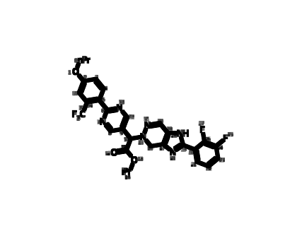 CCCOc1ccc(-c2ncc(C(C(=O)OC(C)C)N3Cc4nc(-c5cccc(F)c5F)[nH]c4C=N3)cn2)c(C(F)(F)F)c1